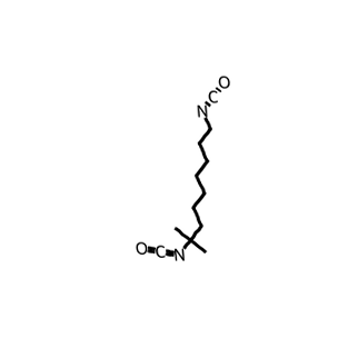 CC(C)(CCCCCCCN=C=O)N=C=O